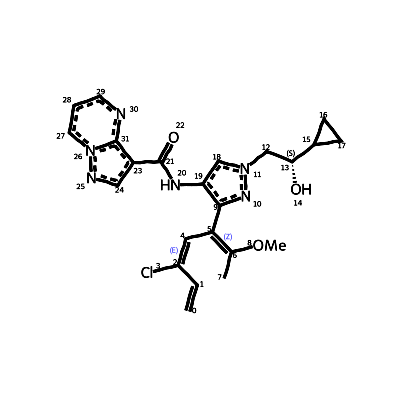 C=C/C(Cl)=C\C(=C(/C)OC)c1nn(C[C@@H](O)C2CC2)cc1NC(=O)c1cnn2cccnc12